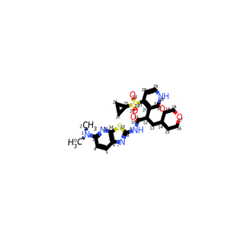 CN(C)c1ccc2nc(NC(=O)C(CC3CCOCC3)c3c(S(=O)(=O)C4CC4)cc[nH]c3=O)sc2n1